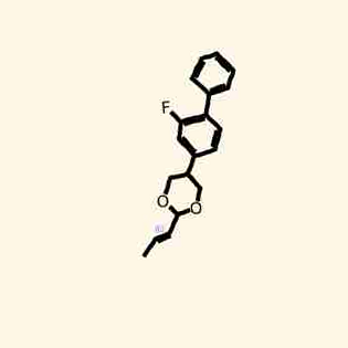 C/C=C/C1OCC(c2ccc(-c3ccccc3)c(F)c2)CO1